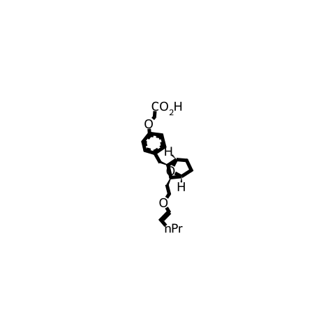 CCCC=COCC[C@H]1[C@@H](Cc2ccc(OCC(=O)O)cc2)[C@H]2CC[C@@H]1O2